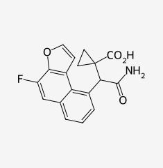 NC(=O)C(c1cccc2cc(F)c3occc3c12)C1(C(=O)O)CC1